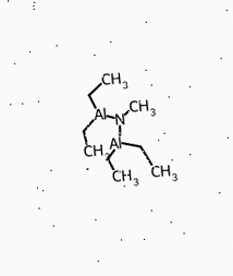 C[CH2][Al]([CH2]C)[N](C)[Al]([CH2]C)[CH2]C